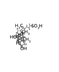 C[C@H](CCCCS(=O)(=O)O)[C@H]1CC[C@H]2[C@@H]3[C@H](O)C[C@@H]4C[C@H](O)CC[C@]4(C)[C@H]3CC[C@]12C